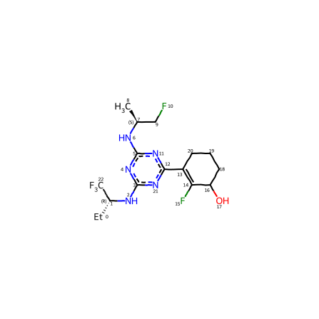 CC[C@@H](Nc1nc(N[C@@H](C)CF)nc(C2=C(F)C(O)CCC2)n1)C(F)(F)F